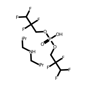 CC(C)CNCC(C)C.O=P(O)(OCC(F)(F)C(F)F)OCC(F)(F)C(F)F